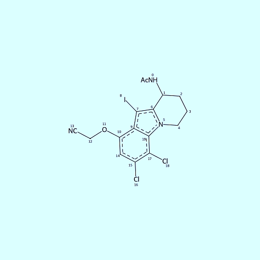 CC(=O)NC1CCCn2c1c(I)c1c(OCC#N)cc(Cl)c(Cl)c12